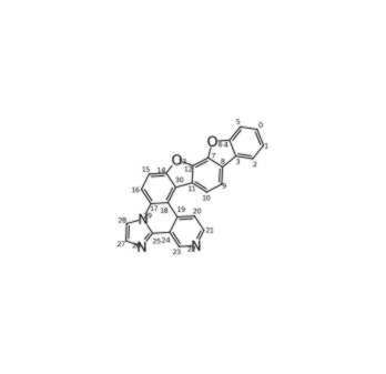 c1ccc2c(c1)oc1c2ccc2c1oc1ccc3c(c4ccncc4c4nccn34)c12